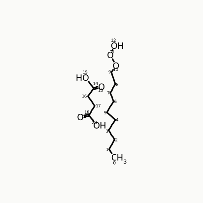 CCCCCCCCCCOOO.O=C(O)CCC(=O)O